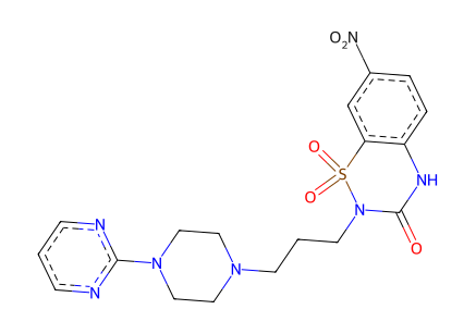 O=C1Nc2ccc([N+](=O)[O-])cc2S(=O)(=O)N1CCCN1CCN(c2ncccn2)CC1